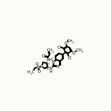 C=CC(=O)N[C@H]1CN(S(=O)(=O)CC)C[C@H]1Nc1ncc2cc(-c3c(Cl)c(OC)cc(OC)c3Cl)ccc2n1